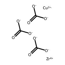 O=C([O-])[O-].O=C([O-])[O-].O=C([O-])[O-].[Cu+2].[Zr+4]